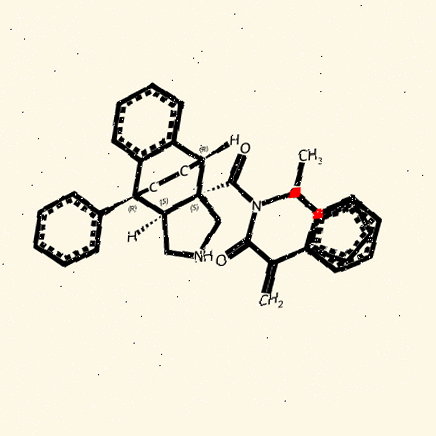 C=C(C(=O)N(Cc1cccs1)C(=O)[C@]12CNC[C@H]1[C@@]1(c3ccccc3)CC[C@@H]2c2ccccc21)c1ccccc1OC